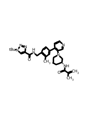 C=C(C)C(=O)N[C@@H]1CCCN(c2cnccc2-c2ccc(CNC(=O)c3cn(C(C)(C)C)nn3)c(C)c2)C1